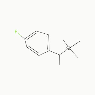 CC(c1ccc(F)cc1)[Si](C)(C)C